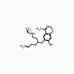 C=CCCC(CCNC=C)Cc1cc2c(cc1C(C)C)SCN=C2C